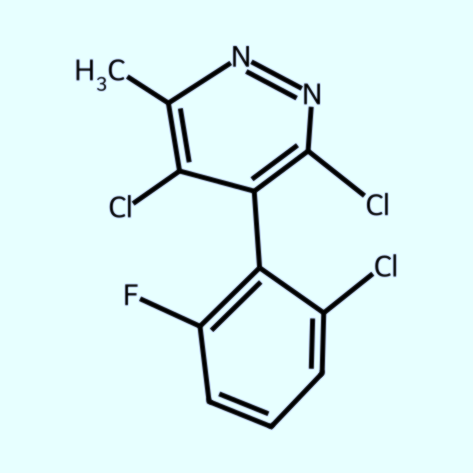 Cc1nnc(Cl)c(-c2c(F)cccc2Cl)c1Cl